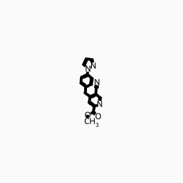 COC(=O)c1cc(Cc2ccc(-n3cccn3)cc2)c(C#N)cn1